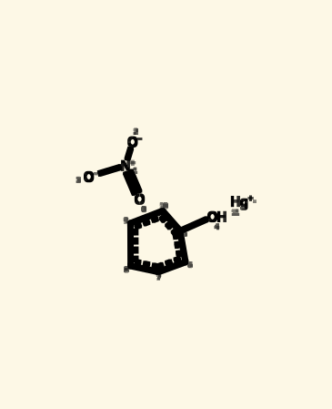 O=[N+]([O-])[O-].Oc1ccccc1.[Hg+]